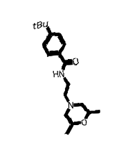 CC1CN(CCNC(=O)c2ccc(C(C)(C)C)cc2)CC(C)O1